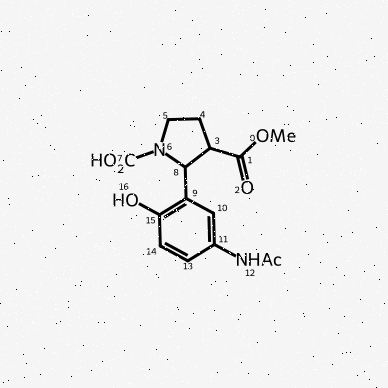 COC(=O)C1CCN(C(=O)O)C1c1cc(NC(C)=O)ccc1O